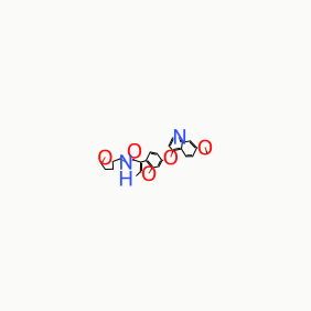 COc1ccc2c(Oc3ccc4c(C(=O)NCC5CCCO5)c(C)oc4c3)ccnc2c1